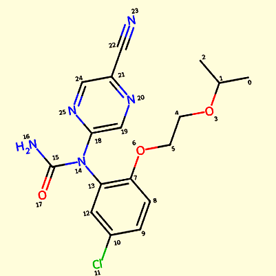 CC(C)OCCOc1ccc(Cl)cc1N(C(N)=O)c1cnc(C#N)cn1